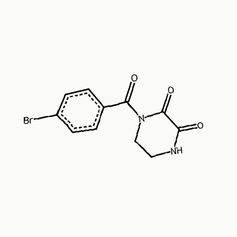 O=C1NCCN(C(=O)c2ccc(Br)cc2)C1=O